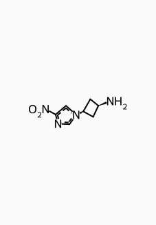 N[C@H]1C[C@@H](n2cnc([N+](=O)[O-])c2)C1